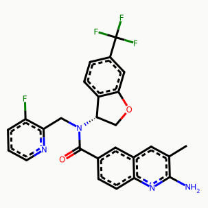 Cc1cc2cc(C(=O)N(Cc3ncccc3F)[C@H]3COc4cc(C(F)(F)F)ccc43)ccc2nc1N